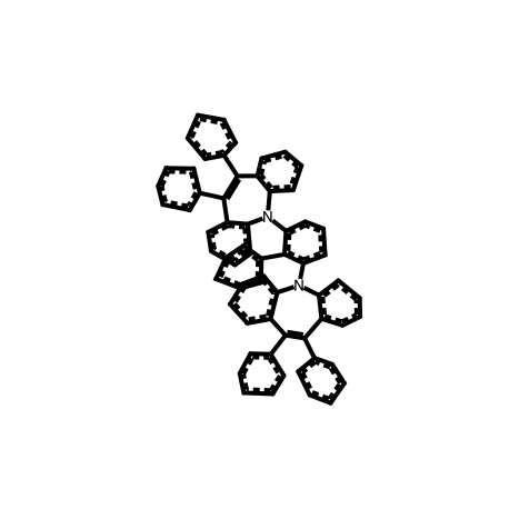 c1ccc(C2=C(c3ccccc3)c3ccccc3N(c3cccc(N4c5ccccc5C(c5ccccc5)=C(c5ccccc5)c5ccccc54)c3-c3ccccc3)c3ccccc32)cc1